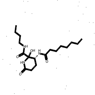 CCCCCCCC(=O)N[C@@H]1CCC(=O)NC1(O)C(=O)NCCCC